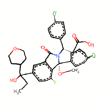 CCC(O)(c1cc(F)c2c(c1)C(=O)N([C@@H](CC(=O)O)c1ccc(Cl)cc1)[C@@]2(OC)c1ccc(Cl)cc1)C1CCOCC1